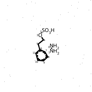 NN.O=S(=O)(O)OCCc1ccccc1